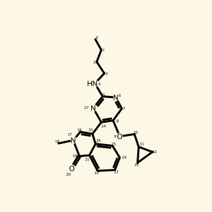 CCCCNc1ncc(OCC2CC2)c(-c2cn(C)c(=O)c3ccccc23)n1